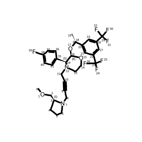 COC[C@@H]1CCCN1CC#CCN1CCO[C@H](O[C@H](C)c2cc(C(F)(F)F)cc(C(F)(F)F)c2)[C@@H]1c1ccc(F)cc1